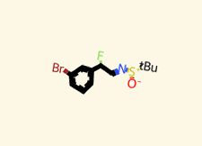 CC(C)(C)[S@+]([O-])N=C[C@H](F)c1cccc(Br)c1